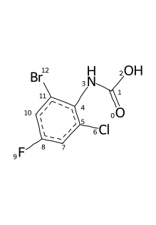 O=C(O)Nc1c(Cl)cc(F)cc1Br